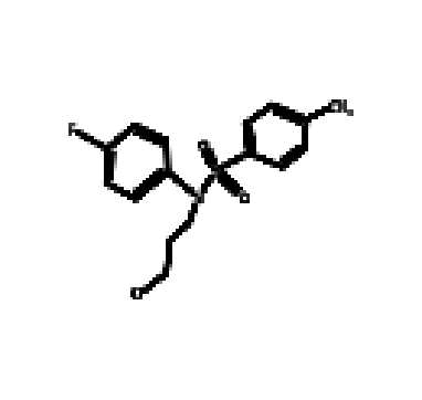 Cc1ccc(S(=O)(=O)N(CCCCl)c2ccc(F)cc2)cc1